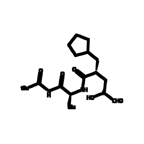 CC(C)(C)C(=O)NC(=O)[C@@H](NC(=O)[C@H](CC1CCCC1)CN(O)C=O)C(C)(C)C